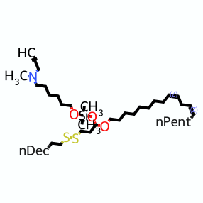 C#CCN(C)CCCCCCO[Si](C)(C)OC(CCSSCCCCCCCCCCCC)OCCCCCCCC/C=C\C/C=C\CCCCC